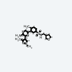 Cc1ccc(S(=O)(=O)NCC2CCOC2)cc1-c1cnc(N)c(-c2cn(C)nc2C)n1